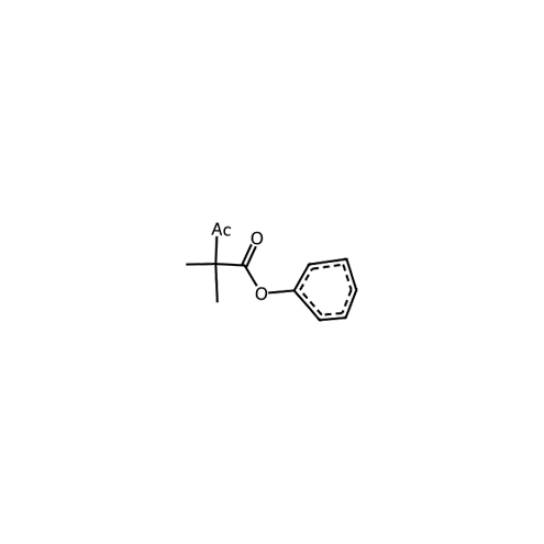 CC(=O)C(C)(C)C(=O)Oc1ccccc1